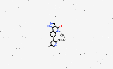 CC(=O)Nc1ncc(C)cc1-c1ccc2c3[nH]ncc3c(=O)n(CC(F)(F)F)c2c1